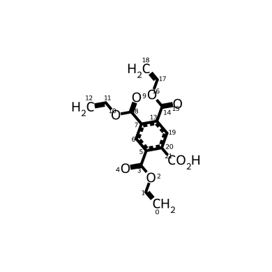 C=COC(=O)c1cc(C(=O)OC=C)c(C(=O)OC=C)cc1C(=O)O